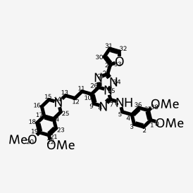 COc1ccc(CNc2ncc(CCCN3CCc4cc(OC)c(OC)cc4C3)c3nc(-c4ccco4)nn23)cc1OC